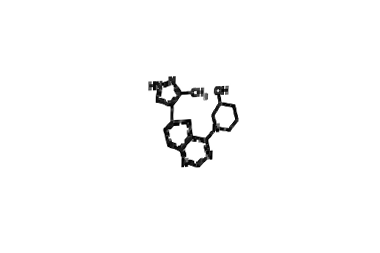 Cc1n[nH]cc1-c1ccc2ncnc(N3CCCC(O)C3)c2c1